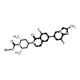 Cc1cn2cc(-c3cc(F)c4c(=O)n(C5C[C@@H](C)N(C(=O)OC(C)(C)C)[C@@H](C)C5)ccc4c3)cc(F)c2n1